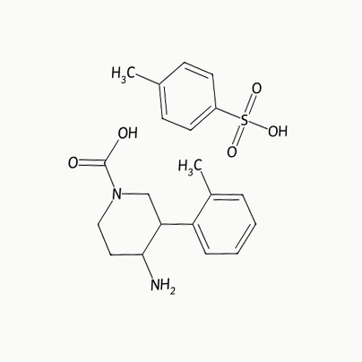 Cc1ccc(S(=O)(=O)O)cc1.Cc1ccccc1C1CN(C(=O)O)CCC1N